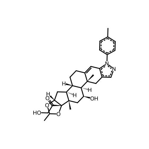 Cc1ccc(-n2ncc3c2C=C2CC[C@@H]4[C@H]([C@@H](O)C[C@@]5(C)[C@H]4C[C@H]4OC(C)O[C@]45C(=O)CO)[C@@]2(C)C3)cc1